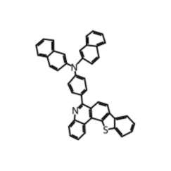 c1ccc2cc(N(c3ccc(-c4nc5ccccc5c5c4ccc4c6ccccc6sc45)cc3)c3ccc4ccccc4c3)ccc2c1